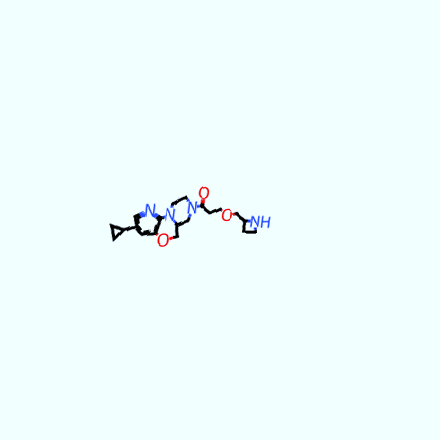 O=C(CCOCC1CCN1)N1CCN2c3ncc(C4CC4)cc3OCC2C1